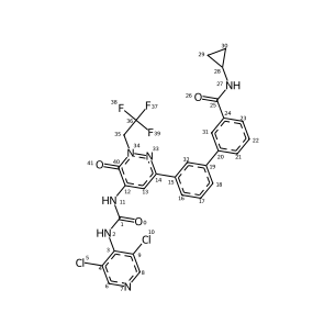 O=C(Nc1c(Cl)cncc1Cl)Nc1cc(-c2cccc(-c3cccc(C(=O)NC4CC4)c3)c2)nn(CC(F)(F)F)c1=O